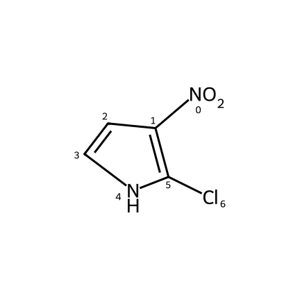 O=[N+]([O-])c1cc[nH]c1Cl